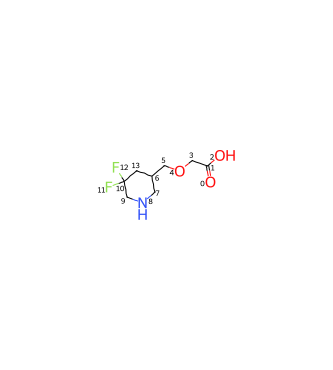 O=C(O)COCC1CNCC(F)(F)C1